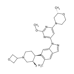 COc1nc(N2CCO[C@@H](C)C2)cc(-n2ncc3cc(C)c([C@@H]4CCN(C5COC5)C[C@@H]4F)cc32)n1